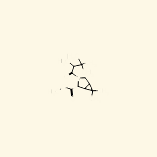 COC(=O)[C@@H]1C2C(CN1C(=O)C(C)C(C)(C)C)C2(C)C